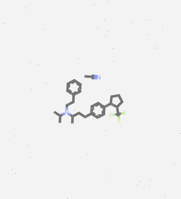 CC#N.CC(C)N(CCc1ccccc1)C(C)CCc1ccc(C2CCCC2C(F)(F)F)cc1